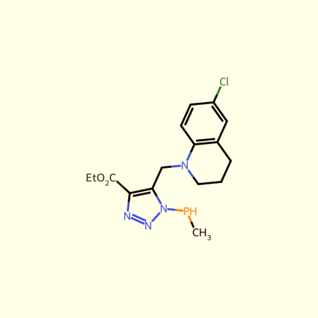 CCOC(=O)c1nnn(PC)c1CN1CCCc2cc(Cl)ccc21